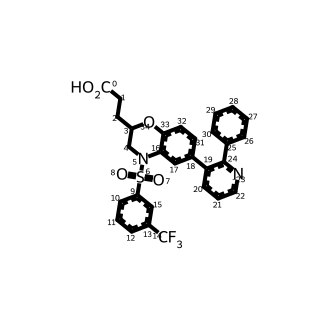 O=C(O)CCC1CN(S(=O)(=O)c2cccc(C(F)(F)F)c2)c2cc(-c3cccnc3-c3ccccc3)ccc2O1